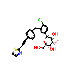 OC[C@H]1O[C@@H](c2ccc(Cl)c(Cc3ccc(C#Cc4nccs4)cc3)c2)[C@H](O)[C@@H](O)[C@@H]1O